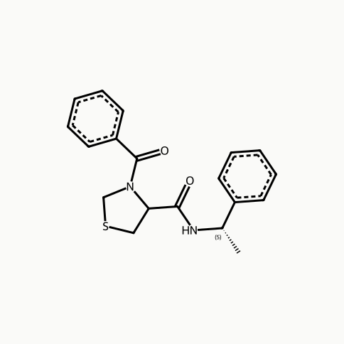 C[C@H](NC(=O)C1CSCN1C(=O)c1ccccc1)c1ccccc1